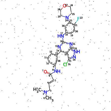 CN(C)C/C=C/C(=O)Nc1cccc(-c2nc(Nc3ccc(F)c(N4CCOCC4)c3)nc3[nH]nc(Cl)c23)c1